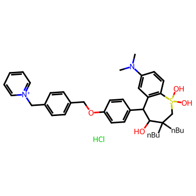 CCCCC1(CCCC)CS(O)(O)c2ccc(N(C)C)cc2C(c2ccc(OCc3ccc(C[n+]4ccccc4)cc3)cc2)C1O.Cl